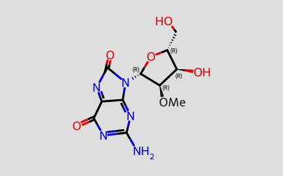 CO[C@@H]1[C@H](O)[C@@H](CO)O[C@H]1N1C(=O)N=C2C(=O)N=C(N)N=C21